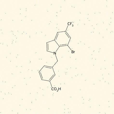 O=C(O)c1cccc(Cn2ccc3cc(C(F)(F)F)cc(Br)c32)c1